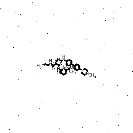 C=CCNC(=O)c1cnc(Nc2ccc(-c3ccc(N4CCN(C)CC4)cc3)cc2)nc1Nc1cccc(C(C)(C)O)n1